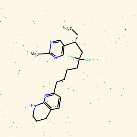 COc1ncc([C@H](CC(=O)O)CC(F)(F)CCCCc2ccc3c(n2)NCCC3)cn1